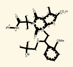 COc1ccccc1C(Cn1c(=O)n(C(C)(C)C(=O)NC(C)C)c(=O)c2c(C)c(C(=O)O)sc21)OCC(C)(C)C#N